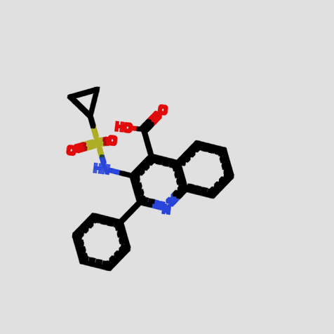 O=C(O)c1c(NS(=O)(=O)C2CC2)c(-c2ccccc2)nc2ccccc12